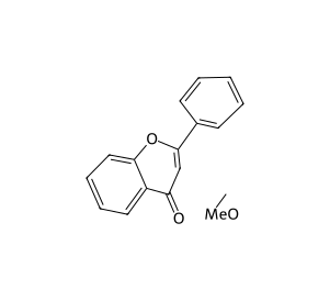 COC.O=c1cc(-c2ccccc2)oc2ccccc12